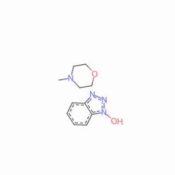 CN1CCOCC1.On1nnc2ccccc21